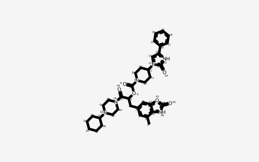 Cc1cc(CC(OC(=O)N2CCC(n3cc(-c4ccccc4)[nH]c3=O)CC2)C(=O)N2CCN(C3CCCCC3)CC2)cc2oc(=O)[nH]c12